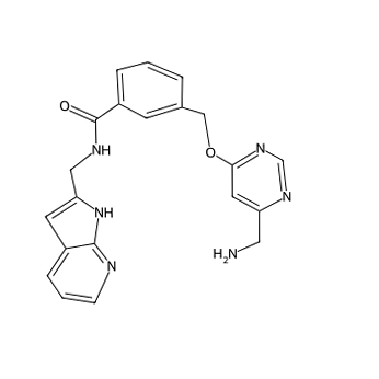 NCc1cc(OCc2cccc(C(=O)NCc3cc4cccnc4[nH]3)c2)ncn1